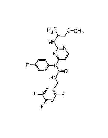 COCC(C)Nc1nccc(N(C(=O)NCc2cc(F)c(F)cc2F)c2ccc(F)cc2)n1